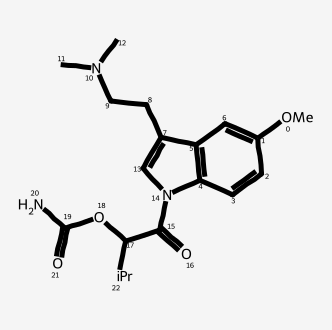 COc1ccc2c(c1)c(CCN(C)C)cn2C(=O)C(OC(N)=O)C(C)C